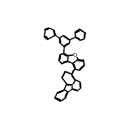 c1ccc(-c2cc(-c3ccccc3)cc(-c3cccc4c3oc3cccc(C5=c6cccc7c6=C(CC5)c5ccccc5-7)c34)c2)cc1